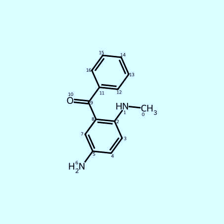 CNc1ccc(N)cc1C(=O)c1ccccc1